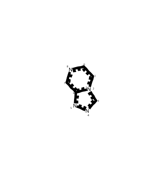 c1cn2cnnc2cn1